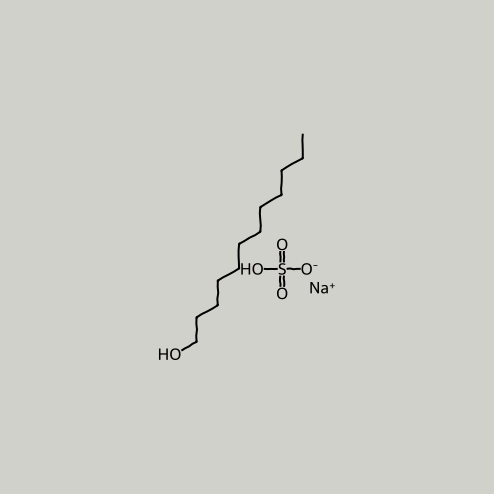 CCCCCCCCCCCCO.O=S(=O)([O-])O.[Na+]